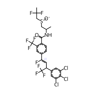 CC(C[S+]([O-])CC(C)(F)F)NC(=O)c1ccc(/C(F)=C/C(c2cc(Cl)c(Cl)c(Cl)c2)C(F)(F)F)cc1C(F)(F)F